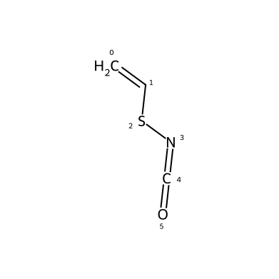 C=CSN=C=O